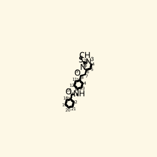 CSc1nccc(CC(=O)c2ccc(NC(=O)c3ccccc3)cc2)n1